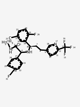 CNC(=O)C(N[C@H](CCc1ccc(C(F)(F)F)nc1)c1cc(C)ccc1F)c1ccc(F)cc1